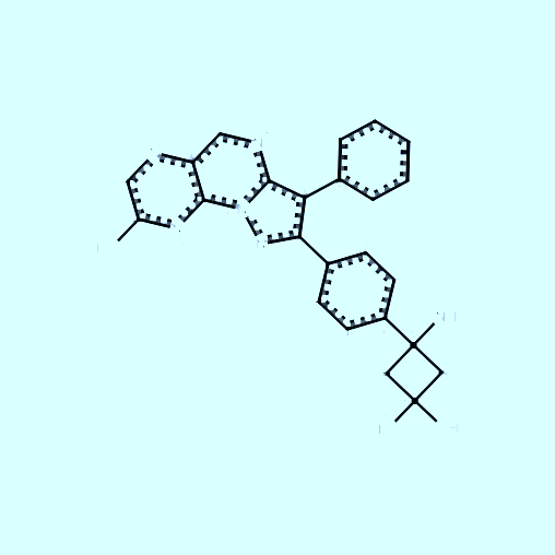 Cc1cnc2cnc3c(-c4ccccc4)c(-c4ccc(C5(N)CC(C)(O)C5)cc4)nn3c2n1